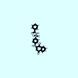 O=C(NS(=O)(=O)c1ccc(NC2=CC(=O)c3ccccc3C2=O)cc1)c1ccccc1